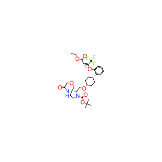 CCOC(=O)/C=C(/Oc1ccccc1[C@H]1CC[C@@H](OCC2N(C(=O)OC(C)(C)C)CCC23COCC(=O)N3)CC1)C(F)(F)F